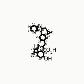 O=C(O)[C@H](Cc1ccc(-n2c(CC3CC3)nc3cccnc32)cc1)NC1=CC(=O)C12CCC(O)CC2